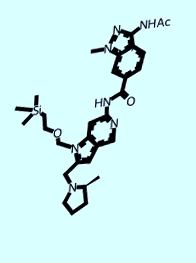 CC(=O)Nc1nn(C)c2cc(C(=O)Nc3cc4c(cn3)cc(CN3CCC[C@@H]3C)n4COCC[Si](C)(C)C)ccc12